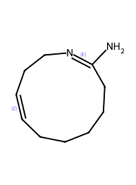 N/C1=N/CC/C=C\CCCCC1